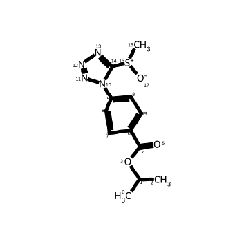 CC(C)OC(=O)c1ccc(-n2nnnc2[S+](C)[O-])cc1